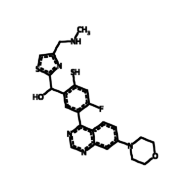 CNCc1csc(C(O)c2cc(-c3ncnc4cc(N5CCOCC5)ccc34)c(F)cc2S)n1